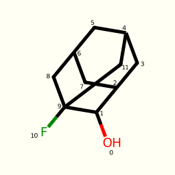 OC1C2CC3CC(C2)CC1(F)C3